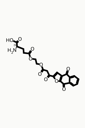 N[C@@H](CCC(=O)OCCOC(=O)CC(=O)c1cc2c(o1)C(=O)c1ccccc1C2=O)C(=O)O